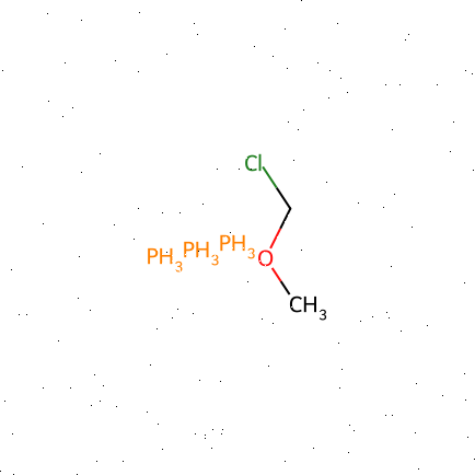 COCCl.P.P.P